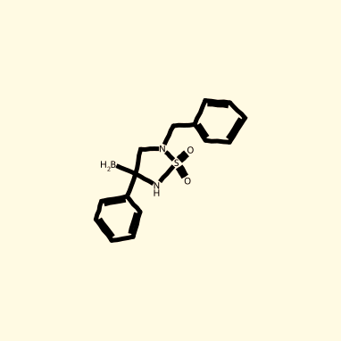 BC1(c2ccccc2)CN(Cc2ccccc2)S(=O)(=O)N1